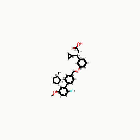 COc1ccc(F)c(-c2ccc(COc3cccc([C@@H](CC(=O)O)C4CC4)c3)cc2[C@H]2CCC[C@H]2C)c1